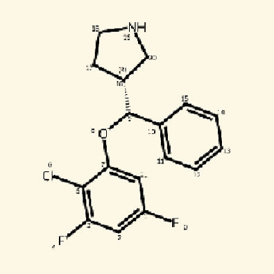 Fc1cc(F)c(Cl)c(OC(c2ccccc2)[C@@H]2CCNC2)c1